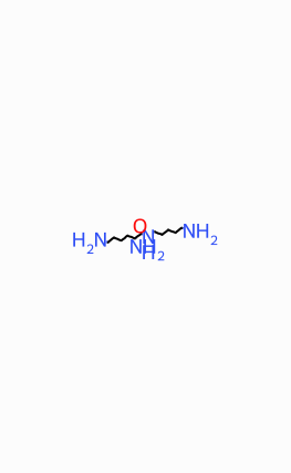 NCCCCCNC(=O)[C@@H](N)CCCCN